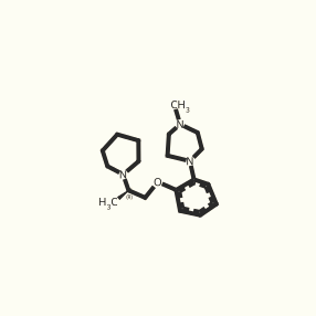 C[C@H](COc1ccccc1N1CCN(C)CC1)N1CCCCC1